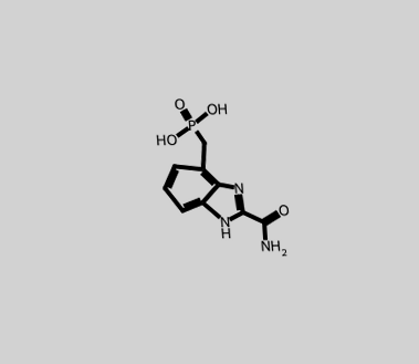 NC(=O)c1nc2c(CP(=O)(O)O)cccc2[nH]1